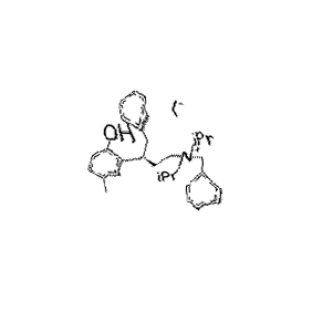 Cc1ccc(O)c([C@H](CC[N+](Cc2ccccc2)(C(C)C)C(C)C)c2ccccc2)c1.[I-]